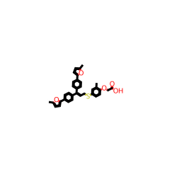 Cc1ccc(-c2ccc(C(=CCSc3ccc(OCC(=O)O)c(C)c3)c3ccc(-c4ccc(C)o4)cc3)cc2)o1